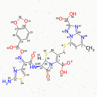 Cc1cc(SCC2=C(C(=O)O)N3C(=O)[C@@H](NC(=O)/C(=N\OC(=O)c4ccc5c(c4)OCO5)c4csc(N)n4)[C@H]3SC2)n2nc(C(=O)O)nc2n1